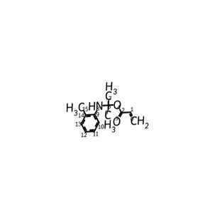 C=CC(=O)OC(C)(C)Nc1ccccc1C